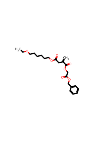 C=C(CC(=O)OCCCCCCOCC)C(=O)OCC(=O)OCc1ccccc1